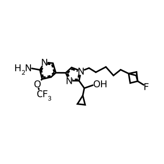 Nc1ncc(-c2cn(CCCCCC34CC(F)(C3)C4)c(C(O)C3CC3)n2)cc1OC(F)(F)F